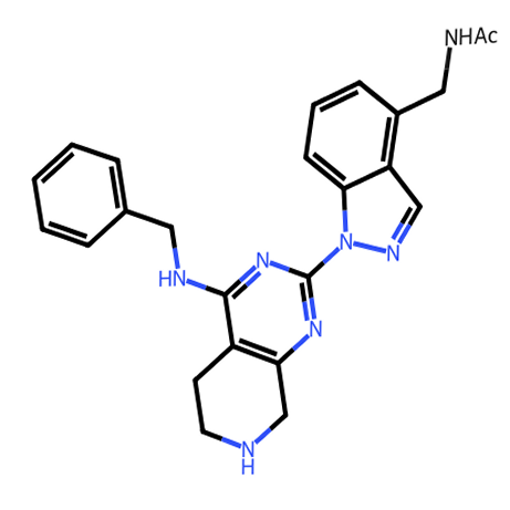 CC(=O)NCc1cccc2c1cnn2-c1nc2c(c(NCc3ccccc3)n1)CCNC2